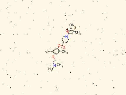 CCCc1cc(OC(=O)C2CCN(C(=O)CC(C)(C)SN=O)CC2)c(C)cc1OCCN(C)C